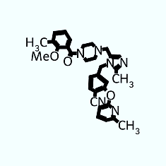 COc1c(C)cccc1C(=O)N1CCN(Cc2cnc(C)n2Cc2ccc(C#N)c(Oc3cccc(C)n3)c2)CC1